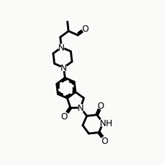 CC(C=O)CN1CCN(c2ccc3c(c2)CN(C2CCC(=O)NC2=O)C3=O)CC1